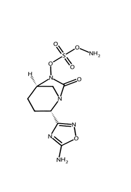 NOS(=O)(=O)ON1C(=O)N2C[C@H]1CC[C@H]2c1noc(N)n1